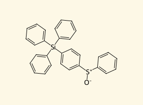 [O-][S+](c1ccccc1)c1ccc([Si](c2ccccc2)(c2ccccc2)c2ccccc2)cc1